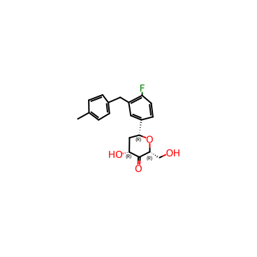 Cc1ccc(Cc2cc([C@H]3C[C@@H](O)C(=O)[C@@H](CO)O3)ccc2F)cc1